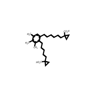 Cc1cc(CCCCCCC2(C(=O)O)CC2)c(CCCCCC2(C(=O)O)CC2)c(C)c1C